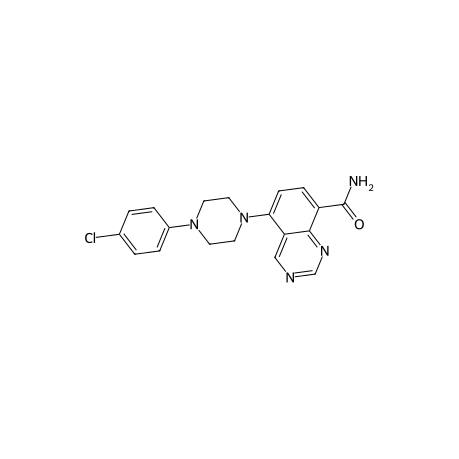 NC(=O)c1ccc(N2CCN(c3ccc(Cl)cc3)CC2)c2cncnc12